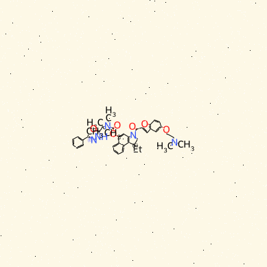 CC[C@@H]1CN(C(=O)c2cc3cc(OCCN(C)C)ccc3o2)c2cc(OC(=O)N(C)C(C)(C)C(=O)N/N=C(\C)c3ccccc3)c3ccccc3c21